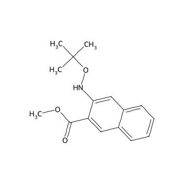 COC(=O)c1cc2ccccc2cc1NOC(C)(C)C